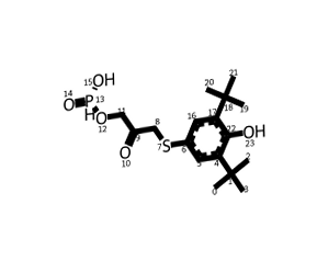 CC(C)(C)c1cc(SCC(=O)CO[PH](=O)O)cc(C(C)(C)C)c1O